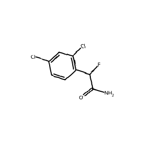 NC(=O)C(F)c1ccc(Cl)cc1Cl